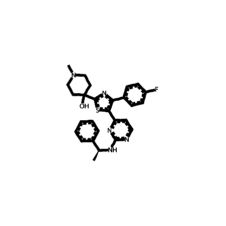 C[C@H](Nc1nccc(-c2sc(C3(O)CCN(C)CC3)nc2-c2ccc(F)cc2)n1)c1ccccc1